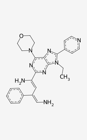 CCn1c(-c2ccncc2)nc2c(N3CCOCC3)nc(/C(N)=C/C(=C\N)c3ccccc3)nc21